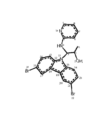 CC(O)C(Nc1ccccn1)n1c2ccc(Br)cc2c2cc(Br)ccc21